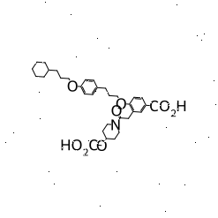 O=C(O)OC1CCN(C(=O)Cc2cc(C(=O)O)ccc2OCCCc2ccc(OCCCC3CCCCC3)cc2)CC1